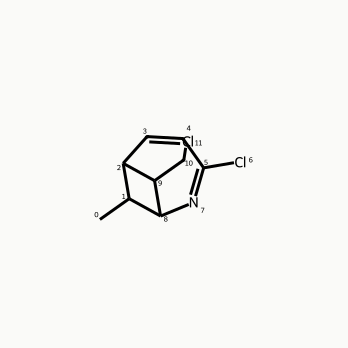 CC1C2C=CC(Cl)=NC1C2CCl